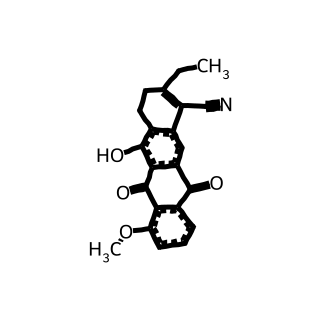 CCC1=C(C#N)c2cc3c(c(O)c2CC1)C(=O)c1c(OC)cccc1C3=O